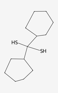 SC(S)(C1CCCCC1)C1CCCCC1